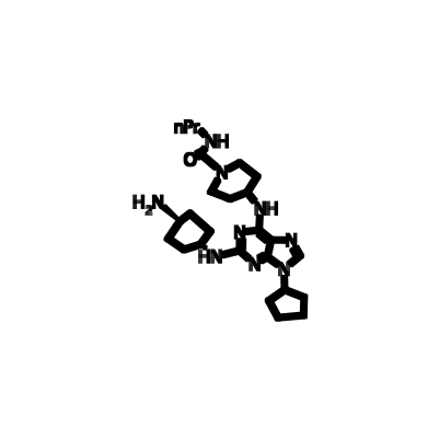 CCCNC(=O)N1CCC(Nc2nc(N[C@H]3CC[C@H](N)CC3)nc3c2ncn3C2CCCC2)CC1